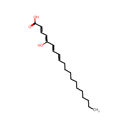 CCCCCCCCCCCC=CC=CC(O)=CC=CC(=O)O